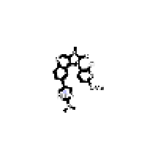 C=C(/N=C\C(=C/N)c1ccc2ncc3c(c2c1)n(-c1ccc(OC)nc1Cl)c(=O)n3C)N(C)C